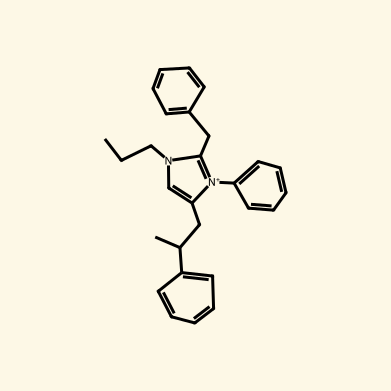 CCCn1cc(CC(C)c2ccccc2)[n+](-c2ccccc2)c1Cc1ccccc1